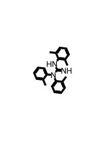 Cc1ccccc1N(C(=N)Nc1c(C)cccc1C)c1ccccc1C